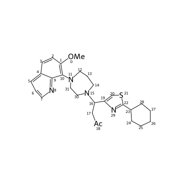 COc1ccc2cccnc2c1N1CCCN(C(CC(C)=O)c2csc(C3CCCCC3)n2)CC1